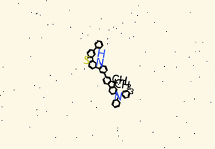 CC1(C)C2=C(CCC(N(c3ccccc3)C3C=CC=CC3)=C2)c2ccc(-c3ccc4c(c3)C3C=Cc5sc6ccc(-c7ccccc7)cc6c5C3N4)cc21